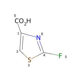 O=C(O)c1csc(F)n1